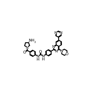 N[C@H]1CCN(C(=O)c2ccc(NC(=O)Nc3ccc(-c4nc(N5CCOCC5)c5ccc(-c6cncnc6)cc5n4)cc3)cc2)C1